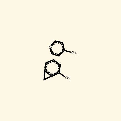 Cc1cccc2c1C2.Cc1ccncc1